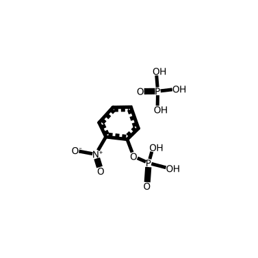 O=P(O)(O)O.O=[N+]([O-])c1ccccc1OP(=O)(O)O